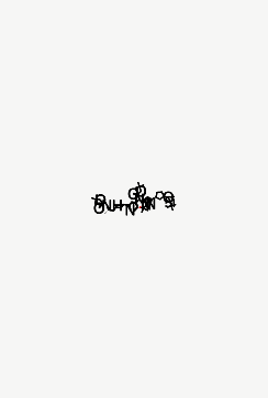 C[C@@H](CC/C=C/c1cc(N(C(=O)OC(C)(C)C)c2cc([C@H]3CC[C@@H](O[Si](C)(C)C(C)(C)C)C3)nn2C(C)(C)C)ccn1)NC(=O)OC(C)(C)C